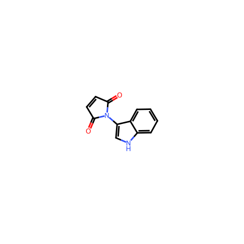 O=C1C=CC(=O)N1c1c[nH]c2ccccc12